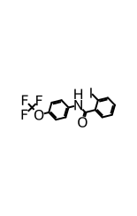 O=C(Nc1ccc(OC(F)(F)F)cc1)c1ccccc1I